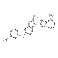 Cn1nc2cc(Oc3cccc(C4CC4)c3)ccc2c1-c1cc2nccc(C(=O)O)c2[nH]1